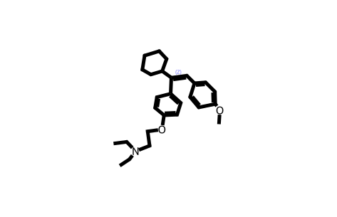 CCN(CC)CCOc1ccc(/C(=C\c2ccc(OC)cc2)C2CCCCC2)cc1